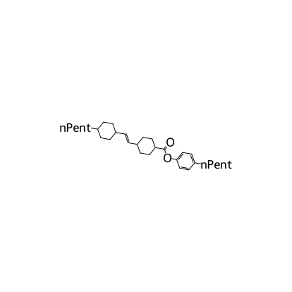 CCCCCc1ccc(OC(=O)C2CCC(C=CC3CCC(CCCCC)CC3)CC2)cc1